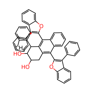 Cc1ccccc1C1c2c(c(-c3oc4ccccc4c3-c3ccccc3)c3ccccc3c2-c2oc3ccccc3c2-c2ccccc2)CC(O)C1O